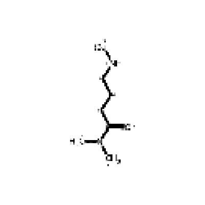 CN(C)C(=O)CCCNC(C)(C)C